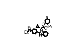 CCN(CC)c1ccc(-c2nc3ccccc3n2[C@@H](C(=O)O[C@@H]2CC(C)CC[C@H]2C(C)C)C2CC2)cc1